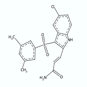 Cc1cc(C)cc(S(=O)(=O)c2c(/C=C/C(N)=O)[nH]c3ccc(Cl)cc23)c1